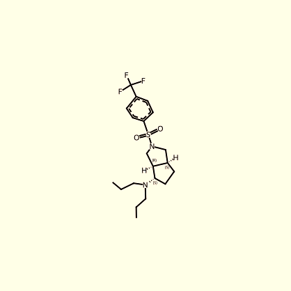 CCCN(CCC)[C@H]1CC[C@@H]2CN(S(=O)(=O)c3ccc(C(F)(F)F)cc3)C[C@@H]21